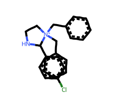 Clc1ccc(C2NCC[N+]2(Cc2ccccc2)Cc2ccccc2)cc1